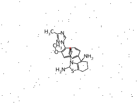 COc1cc(N2C3=C(CCCC3(N)c3ccccc3)SC2N)ccc1-n1cnc(C)n1